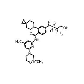 Cc1cc(NC(=O)c2ccc(NS(=O)(=O)[C@H](C)CO)cc2N2CCC3(CC2)CC3)nc(N2CCO[C@H](C)C2)c1